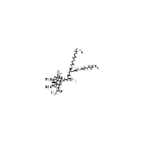 CCCCCCCCCCCCN(CCCCCCCCCCCC)CCCN(C)CCCOC1OC(COC(C)=O)C(OC(C)=O)C(OC(C)=O)C1OC(C)=O